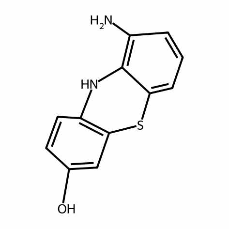 Nc1cccc2c1Nc1ccc(O)cc1S2